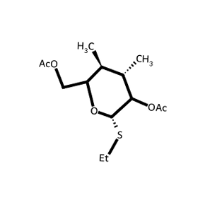 CCS[C@@H]1OC(COC(C)=O)[C@@H](C)[C@H](C)C1OC(C)=O